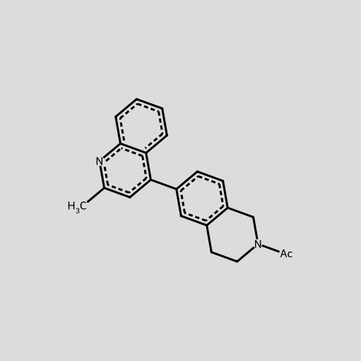 CC(=O)N1CCc2cc(-c3cc(C)nc4ccccc34)ccc2C1